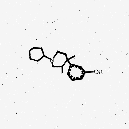 CC1CN(C2C[CH]CCC2)CCC1(C)c1cccc(O)c1